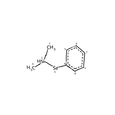 C[SiH](C)[Se]c1ccccc1